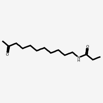 CCC(=O)NCCCCCCCCCC(C)=O